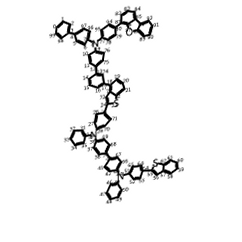 c1ccc(-c2ccc(N(c3ccc(-c4cccc(-c5cccc6sc(-c7ccc(N(c8ccccc8)c8ccc(-c9ccc(N(c%10ccccc%10)c%10ccc(-c%11cc%12ccccc%12s%11)cc%10)cc9)cc8)cc7)cc56)c4)cc3)c3ccc(-c4cccc5c4oc4ccccc45)cc3)cc2)cc1